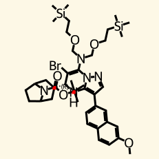 COc1ccc2ccc(-c3cnn4c3N[C@H](C3CC5CCC(C3)N5C(=O)OC(C)(C)C)C(Br)=C4N(COCC[Si](C)(C)C)COCC[Si](C)(C)C)cc2c1